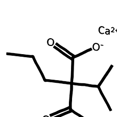 CCCC(C(=O)[O-])(C(=O)[O-])C(C)C.[Ca+2]